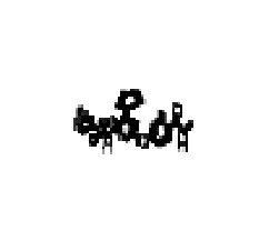 CNC(=O)c1ccc(Oc2cc(C3CCCC3)nc(NS(=O)(=O)c3cnn(C)c3)n2)cn1